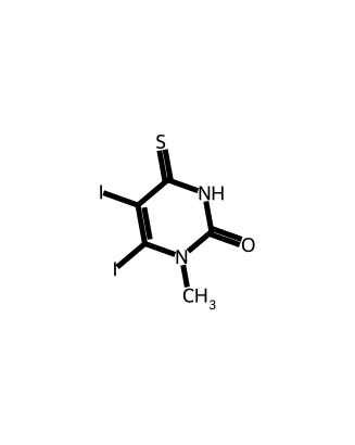 Cn1c(I)c(I)c(=S)[nH]c1=O